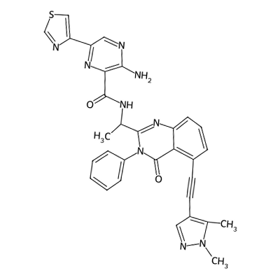 Cc1c(C#Cc2cccc3nc(C(C)NC(=O)c4nc(-c5cscn5)cnc4N)n(-c4ccccc4)c(=O)c23)cnn1C